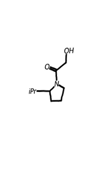 CC(C)C1CCCN1C(=O)CO